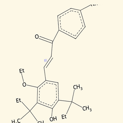 CCOc1c(/C=C/C(=O)c2ccc(NC)cc2)cc(C(C)(C)CC)c(O)c1C(C)(C)CC